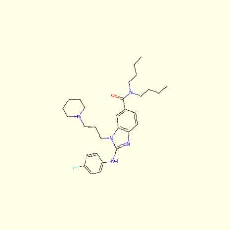 CCCCN(CCCC)C(=O)c1ccc2nc(Nc3ccc(F)cc3)n(CCCN3CCCCC3)c2c1